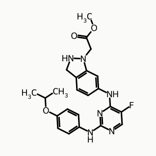 COC(=O)CN1NCc2ccc(Nc3nc(Nc4ccc(OC(C)C)cc4)ncc3F)cc21